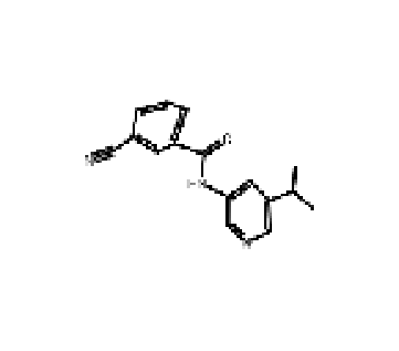 CC(C)c1cncc(NC(=O)c2cccc(C#N)c2)c1